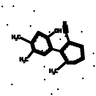 Cc1cc(O)c(-c2c(C)cccc2C#N)cc1C